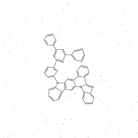 c1ccc(-c2cc(-c3ccccc3)nc(-c3cccc(-n4c5ccccc5c5cc6c(cc54)c4ccccc4c4nc5ccccc5n64)c3)n2)cc1